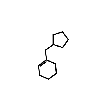 C1=C(CC2CCCC2)CCCC1